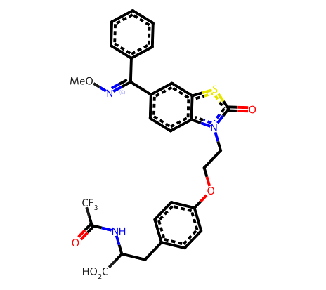 CO/N=C(\c1ccccc1)c1ccc2c(c1)sc(=O)n2CCOc1ccc(CC(NC(=O)C(F)(F)F)C(=O)O)cc1